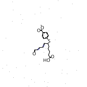 COC(=O)c1ccc(SC(/C=C/C=C/C=O)CCCCC(=O)O)cc1